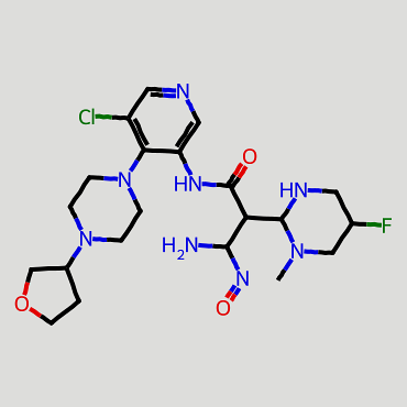 CN1CC(F)CNC1C(C(=O)Nc1cncc(Cl)c1N1CCN(C2CCOC2)CC1)C(N)N=O